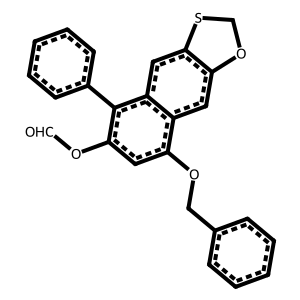 O=COc1cc(OCc2ccccc2)c2cc3c(cc2c1-c1ccccc1)SCO3